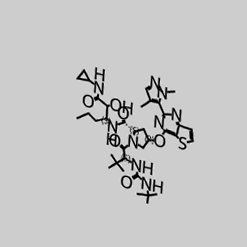 CCC[C@H](NC(=O)[C@@H]1C[C@@H](Oc2nc(-c3c(C)cnn3C)nc3ccsc23)CN1C(=O)[C@@H](NC(=O)NC(C)(C)C)C(C)(C)C)C(O)C(=O)NC1CC1